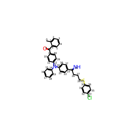 Cc1ccccc1C(=O)c1ccc(N(c2ccccc2)c2ccc(C(=N)CCCSc3ccc(Cl)cc3)cc2)cc1